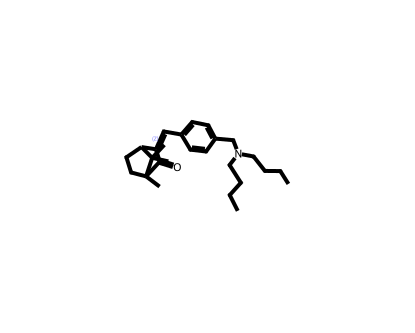 CCCCN(CCCC)Cc1ccc(/C=C2\C(=O)C3(C)CCC2C3(C)C)cc1